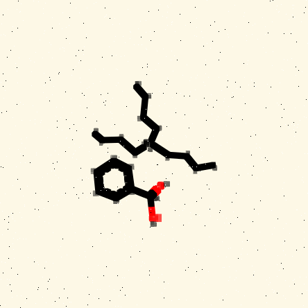 CCC[CH2][Sn]([CH2]CCC)[CH2]CCC.O=C(O)c1ccccc1